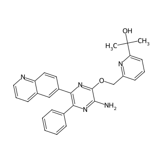 CC(C)(O)c1cccc(COc2nc(-c3ccc4ncccc4c3)c(-c3ccccc3)nc2N)n1